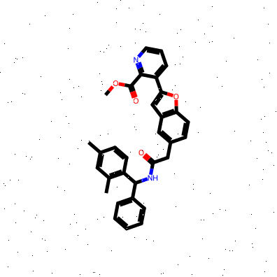 COC(=O)c1ncccc1-c1cc2cc(CC(=O)NC(c3ccccc3)c3ccc(C)cc3C)ccc2o1